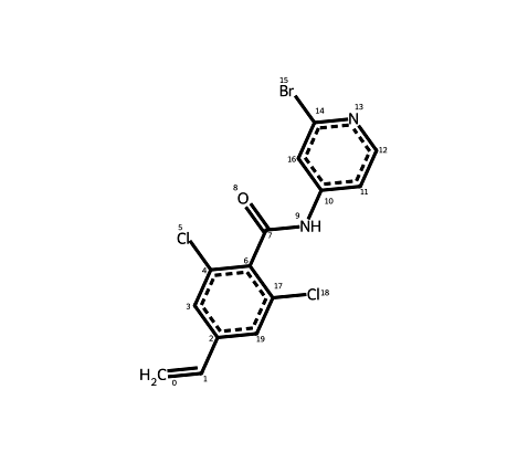 C=Cc1cc(Cl)c(C(=O)Nc2ccnc(Br)c2)c(Cl)c1